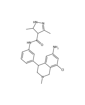 CC1=NNC(C)C1C(=O)Nc1cccc(C2CN(C)Cc3c(Cl)cc(N)cc32)c1